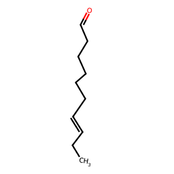 CCC=CCCCCCC=O